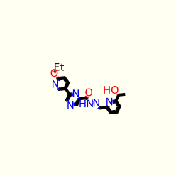 CCOc1ccc(-c2cncc(C(=O)N/N=C/c3cccc(C(C)O)n3)n2)cn1